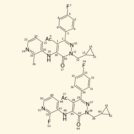 CC(=O)c1c(-c2ccc(F)cc2)nn(CC2CC2)c(=O)c1Nc1cccnc1C.CC(=O)c1c(-c2ccc(F)cc2)nn(CC2CC2)c(=O)c1Nc1cccnc1F